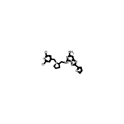 Nc1cc2nc(-c3ccco3)nn2c(NCC2CCCN2Cc2cc(Cl)nc(Cl)c2)n1